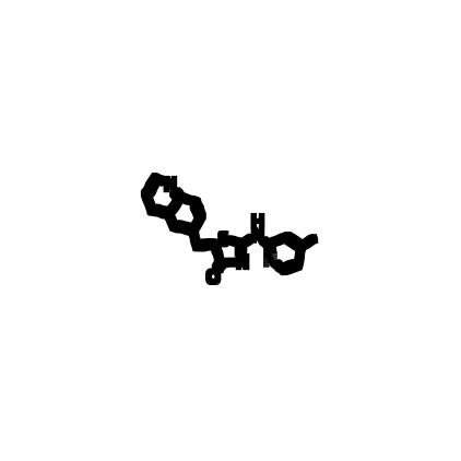 Cc1ccnc(NC2=NC(=O)/C(=C/c3ccc4ncccc4c3)S2)c1